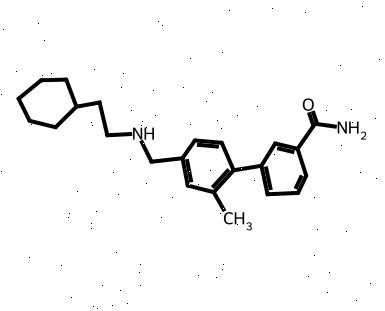 Cc1cc(CNCCC2CCCCC2)ccc1-c1cccc(C(N)=O)c1